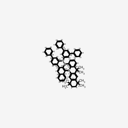 CC1(C)CCC(C)(C)c2cc3c(cc21)N1c2c(cccc2C3(C)C)B2c3c(cc4ccccc4c31)-c1ccc(-c3ccccc3)cc1N2c1cc(-c2ccccc2)cc(-c2ccccc2)c1